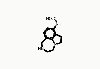 O=C(O)Nc1ccc2c3c1CCN3CCNC2